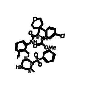 COC(=O)N[C@H](C(=O)Nc1cccc(F)c1C[C@H]1CNC[C@H](C)N1S(=O)(=O)c1ccccc1)C1(c2ccc(Cl)cc2)CCOCC1